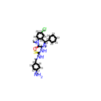 CN1C(=O)C(NC(=S)NCc2ccc(N)cc2)N=C(c2ccccc2)c2cc(Cl)ccc21